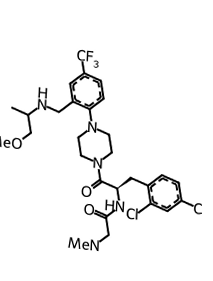 CNCC(=O)N[C@H](Cc1ccc(Cl)cc1Cl)C(=O)N1CCN(c2ccc(C(F)(F)F)cc2CNC(C)COC)CC1